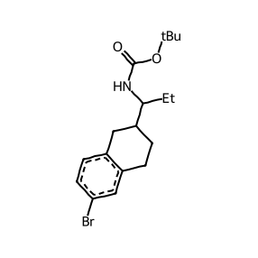 CCC(NC(=O)OC(C)(C)C)C1CCc2cc(Br)ccc2C1